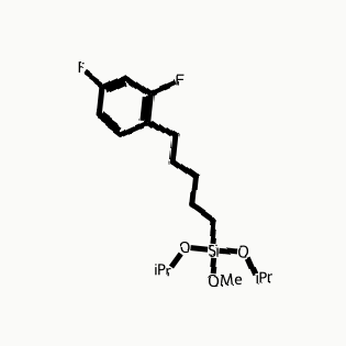 CO[Si](CCCCCc1ccc(F)cc1F)(OC(C)C)OC(C)C